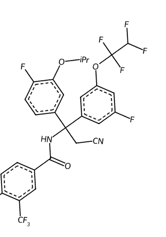 CC(C)Oc1cc(C(CC#N)(NC(=O)c2ccc(F)c(C(F)(F)F)c2)c2cc(F)cc(OC(F)(F)C(F)F)c2)ccc1F